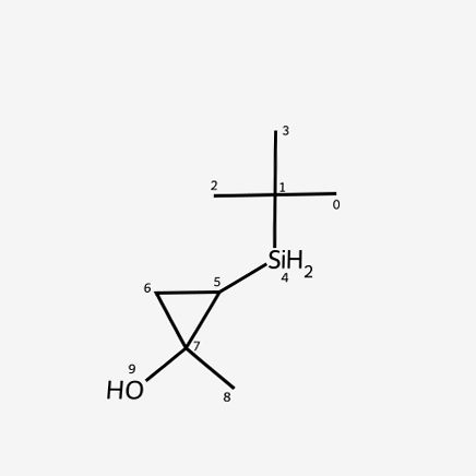 CC(C)(C)[SiH2]C1CC1(C)O